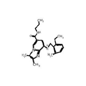 CCCNC(=O)c1cc(NCc2c(C)cccc2CC)c2nc(C)c(C)n2c1